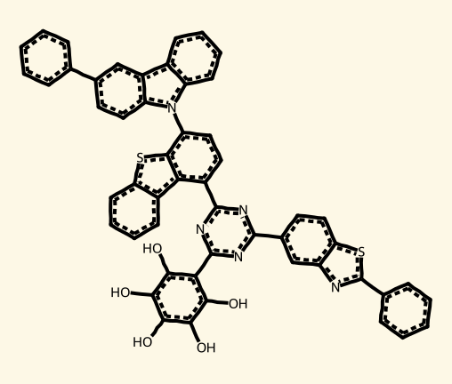 Oc1c(O)c(O)c(-c2nc(-c3ccc4sc(-c5ccccc5)nc4c3)nc(-c3ccc(-n4c5ccccc5c5cc(-c6ccccc6)ccc54)c4sc5ccccc5c34)n2)c(O)c1O